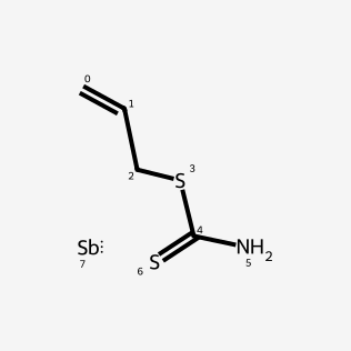 C=CCSC(N)=S.[Sb]